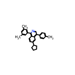 Cc1ccc(-c2cnc(-c3cc(C)cc(C)c3)c3ccc(C4CCCC4)cc23)cc1